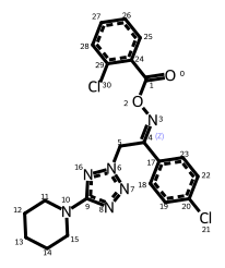 O=C(O/N=C(\Cn1nnc(N2CCCCC2)n1)c1ccc(Cl)cc1)c1ccccc1Cl